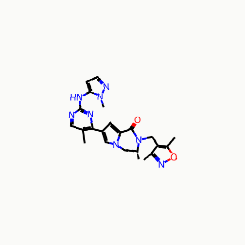 Cc1cnc(Nc2ccnn2C)nc1-c1cc2n(c1)C[C@H](C)N(Cc1c(C)noc1C)C2=O